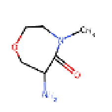 CN1CCOCC(N)C1=O